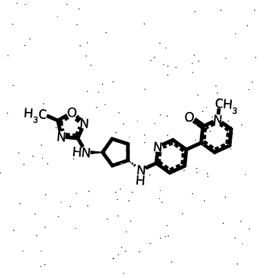 Cc1nc(N[C@H]2CC[C@H](Nc3ccc(-c4cccn(C)c4=O)cn3)C2)no1